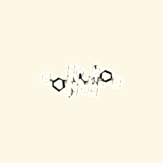 COc1ccc(Cl)cc1NNC(=O)C(=O)NNc1cc(Cl)ccc1OC